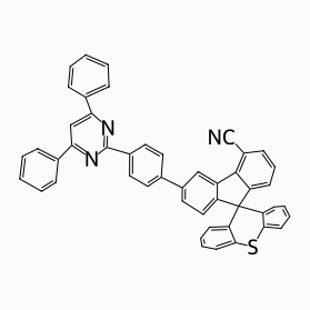 N#Cc1cccc2c1-c1cc(-c3ccc(-c4nc(-c5ccccc5)cc(-c5ccccc5)n4)cc3)ccc1C21c2ccccc2Sc2ccccc21